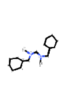 CCN(CC1CCCCC1)CN(CC)CC1CCCCC1